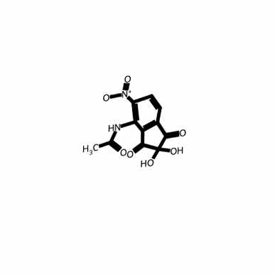 CC(=O)Nc1c([N+](=O)[O-])ccc2c1C(=O)C(O)(O)C2=O